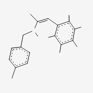 O=[N+]([O-])/C(=C/c1c(F)c(F)c(F)c(F)c1F)[S+]([O-])Cc1ccc(F)cc1